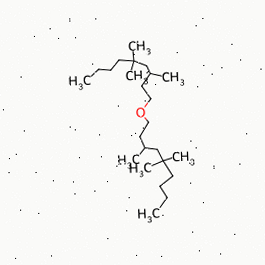 CCCCC(C)(C)CC(C)CCOCCC(C)CC(C)(C)CCCC